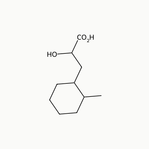 CC1CCCCC1CC(O)C(=O)O